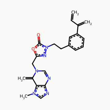 C=CC(=C)c1cccc(CCn2nc(CN3C=Nc4ncn(C)c4C3=C)oc2=O)c1